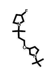 CC(C)(C)N1CCC(OCCC(C)(C)N2CCC(F)C2)C1